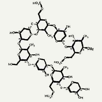 CO[C@H]1OC(COS(=O)(=O)O)[C@@H](O[C@H]2C[C@H](O)[C@H](O[C@@H]3OC(COS(=O)(=O)O)[C@@H](O[C@H]4C[C@H](O)[C@H](O[C@@H]5OC(CO)[C@@H](O[C@H]6C[C@H](O)[C@H](O[C@@H]7OC(COS(=O)(=O)O)[C@@H](O[C@H]8C[C@H](O)[C@H](O)CO8)[C@H](O)C7C)CO6)[C@H](O)C5C)CO4)[C@H](O)C3C)CO2)[C@H](O)C1C